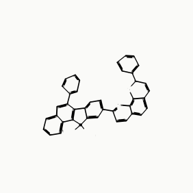 CC1(C)c2cc(-c3ccc4ccc5c(c4n3)NC(c3ccccc3)C=C5)ccc2-c2c(-c3ccccc3)cc3ccccc3c21